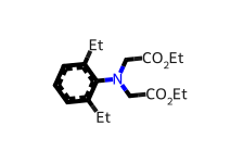 CCOC(=O)CN(CC(=O)OCC)c1c(CC)cccc1CC